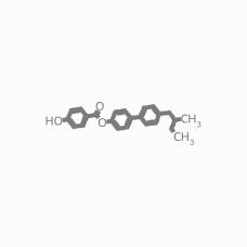 CCC(C)Cc1ccc(-c2ccc(OC(=O)c3ccc(O)cc3)cc2)cc1